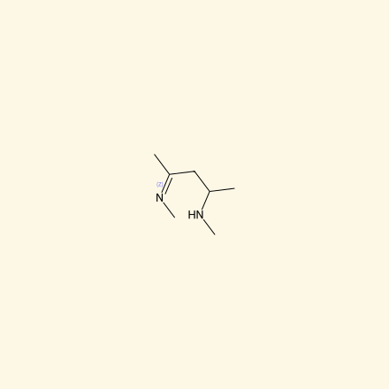 C/N=C(/C)CC(C)NC